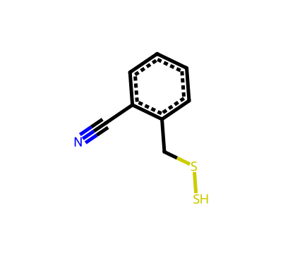 N#Cc1ccccc1CSS